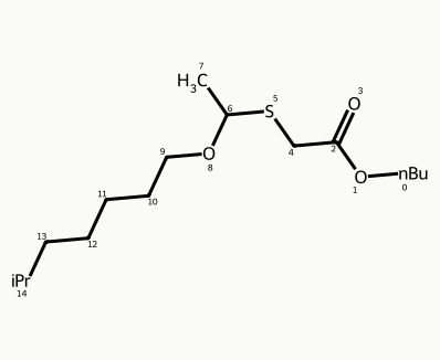 CCCCOC(=O)CSC(C)OCCCCCC(C)C